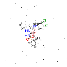 CCCN(C(=O)[C@H](Cc1ccccc1)NC(=O)NS(=O)(=O)c1ccccc1C)c1ccc(Cl)c(Cl)c1